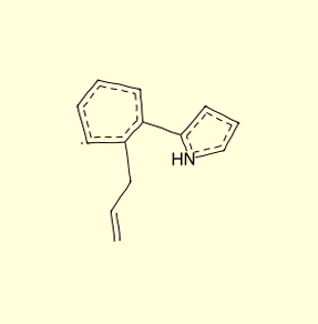 C=CCc1[c]cccc1-c1ccc[nH]1